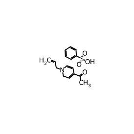 C=CCN1C=CC(C(C)=O)=CC1.O=S(=O)(O)c1ccccc1